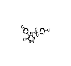 Cc1nc(Cl)c(-c2ccc(Cl)cc2)c(NS(=O)(=O)c2ccc(Cl)cc2)n1